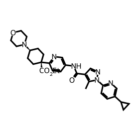 CCOC(=O)[C@]1(c2ccc(NC(=O)c3cnn(-c4ccc(C5CC5)cn4)c3C)cn2)CC[C@H](N2CCOCC2)CC1